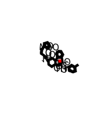 COc1ccc2c3c1O[C@H]1[C@H](N(C)C(=O)/C=C\c4ccoc4)CC[C@@]4(O)[C@@H](C2)N(S(=O)(=O)c2cccc(C)c2)CC[C@]314